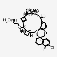 CNCCO[C@H]1C2=C[C@@H](C2)[C@H](C)[C@@H](C)S(=O)(=O)NC(=O)c2ccc3c(c2)N(C[C@@H]2CC[C@H]21)C[C@@]1(CCCc2c1ccc(Cl)c2F)CO3